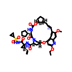 C=C[C@@H]1C[C@]1(NC(=O)[C@@H]1C[C@@H]2CN1C(=O)[C@H](C1CCCC1)NC(=O)O[C@H]1CCC[C@H]1C/C=C/c1cc3c(cc(OCC)nc3cc1OC)O2)C(=O)NS(=O)(=O)C1CC1